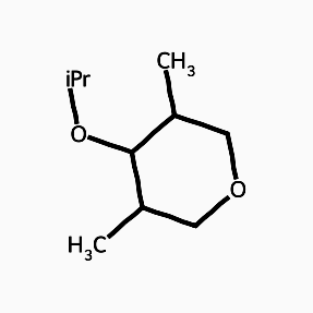 CC(C)OC1C(C)COCC1C